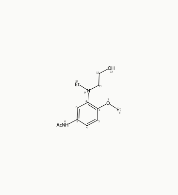 CCOc1ccc(NC(C)=O)cc1N(CC)CCO